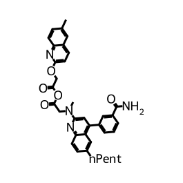 CCCCCc1ccc2nc(N(C)CC(=O)OC(=O)COc3ccc4cc(C)ccc4n3)cc(-c3cccc(C(N)=O)c3)c2c1